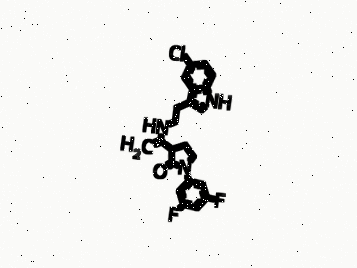 C=C(NCCc1c[nH]c2ccc(Cl)cc12)C1CCN(c2cc(F)cc(F)c2)C1=O